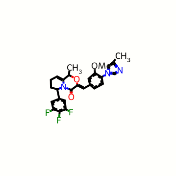 COc1cc(C=C2OC(C)C3=CCCC(c4cc(F)c(F)c(F)c4)N3C2=O)ccc1-n1cnc(C)c1